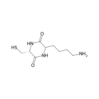 NCCCCC1NC(=O)[C@H](CS)NC1=O